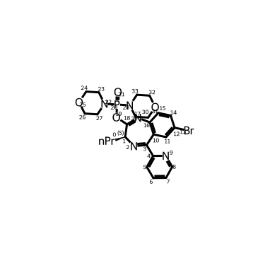 CCC[C@@H]1N=C(c2ccccn2)c2cc(Br)ccc2N=C1OP(=O)(N1CCOCC1)N1CCOCC1